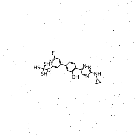 Oc1cc(-c2cc(F)nc(OC(S)(S)S)c2)ccc1-c1cnc(NC2CC2)nn1